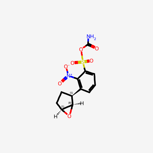 NC(=O)OS(=O)(=O)c1cccc([C@@H]2CC[C@@H]3O[C@@H]32)c1[N+](=O)[O-]